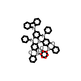 c1ccc(N2c3cc(-n4c5ccccc5c5ccccc54)cc4c3B(c3c2cc2c5c3Oc3ccccc3B5c3ccccc3O2)c2c(cc3c5c2Oc2ccccc2B5c2ccccc2O3)N4c2ccccc2)cc1